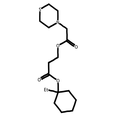 CCC1(OC(=O)CCOC(=O)CN2CCSCC2)CCCCC1